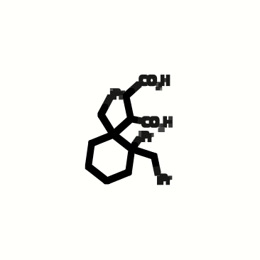 CC(C)CC1(C(C)C)CCCCC1(CC(C)C)C(CC(=O)O)C(=O)O